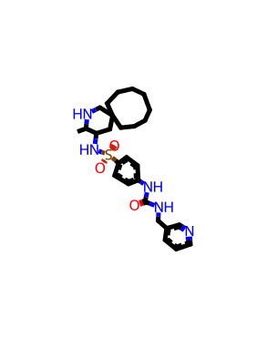 CC1NCC2(CCCCCCCC2)CC1NS(=O)(=O)c1ccc(NC(=O)NCc2cccnc2)cc1